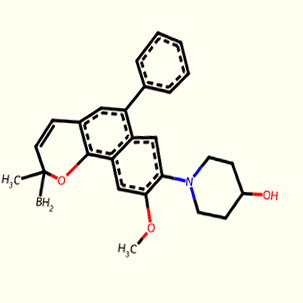 BC1(C)C=Cc2cc(-c3ccccc3)c3cc(N4CCC(O)CC4)c(OC)cc3c2O1